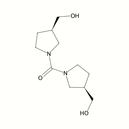 O=C(N1CC[C@@H](CO)C1)N1CC[C@@H](CO)C1